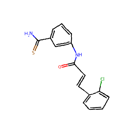 NC(=S)c1cccc(NC(=O)C=Cc2ccccc2Cl)c1